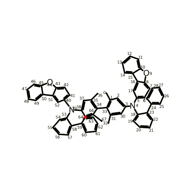 Cc1cc(N(c2ccc3oc4ccccc4c3c2)c2ccccc2-c2ccccc2)cc(C)c1-c1c(C)cc(N(c2ccc3oc4ccccc4c3c2)c2ccccc2-c2ccccc2)cc1C